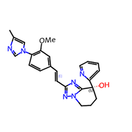 COc1cc(/C=C/c2nc3n(n2)CCC[C@]3(O)c2ccccn2)ccc1-n1cnc(C)c1